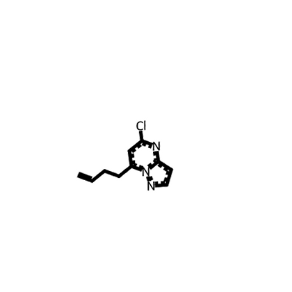 C=CCCc1cc(Cl)nc2ccnn12